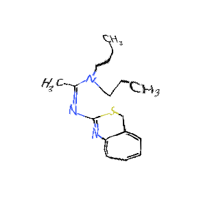 CCCN(CCC)C(C)=NC1=Nc2ccccc2CS1